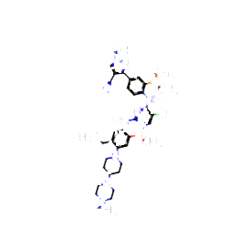 CCc1cc(Nc2ncc(Cl)c(Nc3ccc(-c4nn(C)cc4C#N)cc3P(C)C)n2)c(OC)cc1N1CCC(N2CCN(C)CC2)CC1